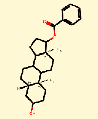 C[C@]12CCC3C(CC[C@H]4CC(O)CC[C@]34C)C1CCC2OC(=O)c1ccccc1